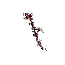 C[C@@H](CCCCNC(=O)COCCOCCNC(=O)COCCOCCNC(=O)CCCC(=O)NCCCC[C@H](NC(=O)COCOCCNC(=O)COCCOCCNC(=O)CN1CCN(CC(=O)O)CCN(CC(=O)O)CCN(CC(=O)O)CC1)C(=O)NCCCC[C@H](N)C(N)=O)C(N)=O